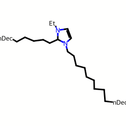 CCCCCCCCCCCCCCCCCCCN1C=CN(CC)C1CCCCCCCCCCCCCCC